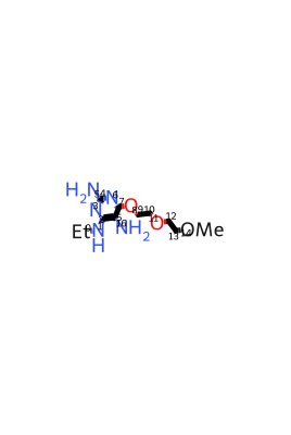 CCNc1nc(N)nc(OCCOCCOC)c1N